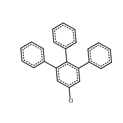 Clc1cc(-c2ccccc2)c(-c2ccccc2)c(-c2ccccc2)c1